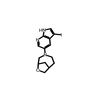 Ic1c[nH]c2ncc(N3CCC4COC(C4)C3)cc12